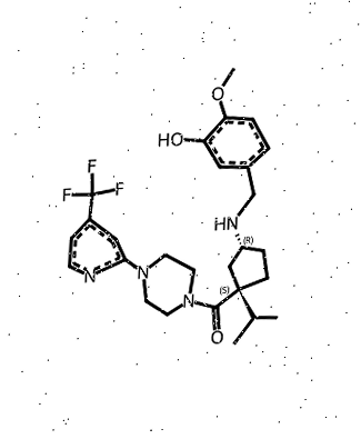 COc1ccc(CN[C@@H]2CC[C@@](C(=O)N3CCN(c4cc(C(F)(F)F)ccn4)CC3)(C(C)C)C2)cc1O